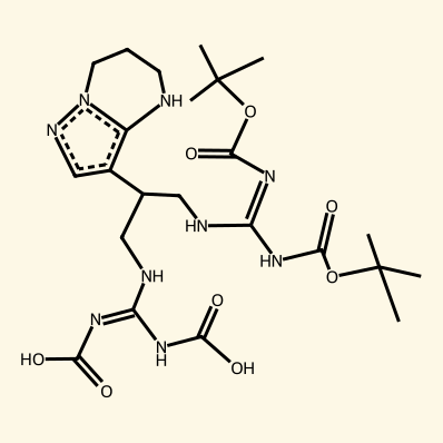 CC(C)(C)OC(=O)N=C(NCC(CNC(=NC(=O)O)NC(=O)O)c1cnn2c1NCCC2)NC(=O)OC(C)(C)C